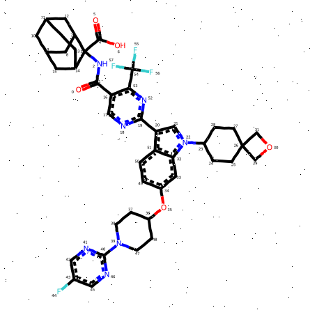 O=C(NC1(C(=O)O)C2CC3CC(C2)CC1C3)c1cnc(-c2cn(C3CCC4(CC3)COC4)c3cc(OC4CCN(c5ncc(F)cn5)CC4)ccc23)nc1C(F)(F)F